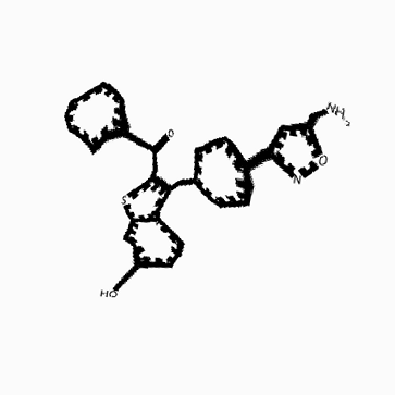 Nc1cc(-c2ccc(-c3c(C(=O)c4ccccc4)sc4cc(O)ccc34)cc2)no1